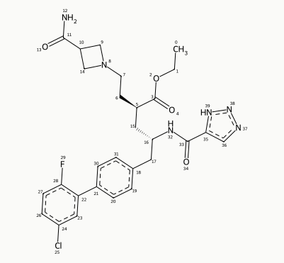 CCOC(=O)[C@H](CCN1CC(C(N)=O)C1)C[C@@H](Cc1ccc(-c2cc(Cl)ccc2F)cc1)NC(=O)c1cnn[nH]1